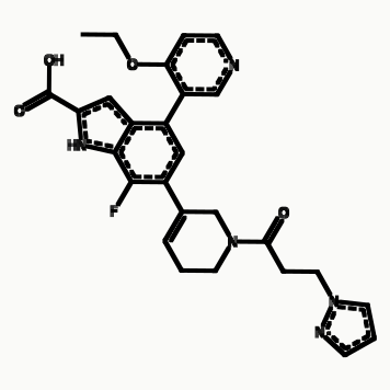 CCOc1ccncc1-c1cc(C2=CCCN(C(=O)CCn3cccn3)C2)c(F)c2[nH]c(C(=O)O)cc12